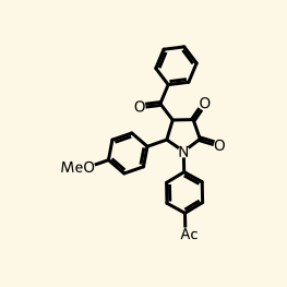 COc1ccc(C2C(C(=O)c3ccccc3)C(=O)C(=O)N2c2ccc(C(C)=O)cc2)cc1